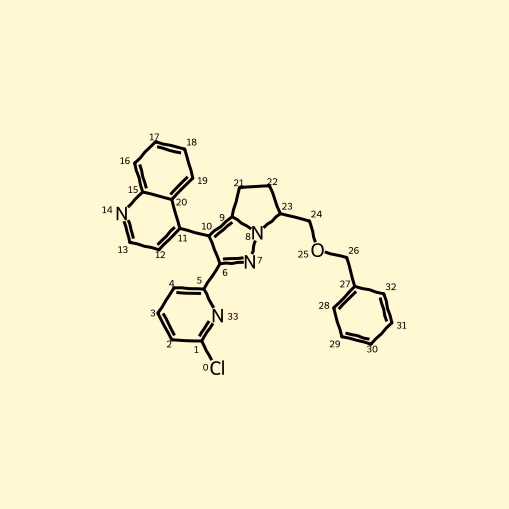 Clc1cccc(-c2nn3c(c2-c2ccnc4ccccc24)CCC3COCc2ccccc2)n1